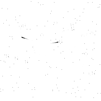 N#CCOc1cn([C@H]2C[C@H](N=[N+]=[N-])[C@@H](CO)O2)c(=O)[nH]c1=O